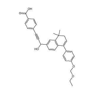 CCOCOc1ccc(C2=CCC(C)(C)c3cc(C(O)C#Cc4ccc(C(=O)O)cc4)ccc32)cc1